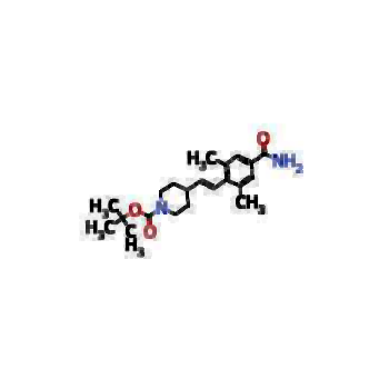 Cc1cc(C(N)=O)cc(C)c1/C=C/C1CCN(C(=O)OC(C)(C)C)CC1